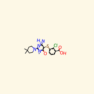 Cn1c(N2CCC(C)(C)CC2)nc(N)c(Sc2cccc(C(=O)O)c2Cl)c1=O